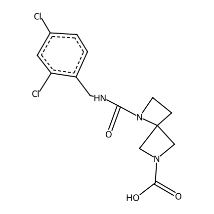 O=C(O)N1CC2(CCN2C(=O)NCc2ccc(Cl)cc2Cl)C1